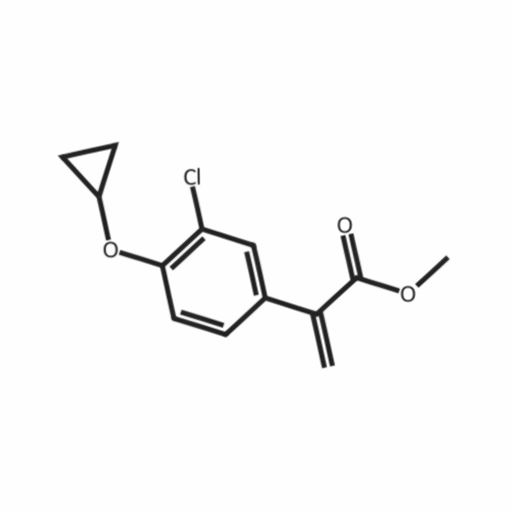 C=C(C(=O)OC)c1ccc(OC2CC2)c(Cl)c1